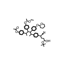 CCOC(C)Oc1ccc(C(C(C)c2ccc(OC(C)=O)cc2)C(c2ccc(OC3CCCCO3)cc2)C(C)c2ccc(C(C#N)CCC(O)OC(C)(C)C)cc2)cc1